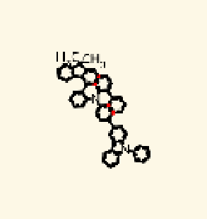 CC1(C)c2ccccc2-c2c(-c3ccccc3N(c3ccc(-c4ccc5c(c4)c4ccccc4n5-c4ccccc4)cc3)c3ccccc3-c3ccccc3)cccc21